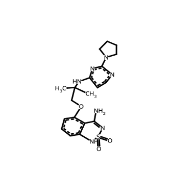 CC(C)(COc1cccc2c1C(N)=NS(=O)(=O)N2)Nc1ccnc(N2CCCC2)n1